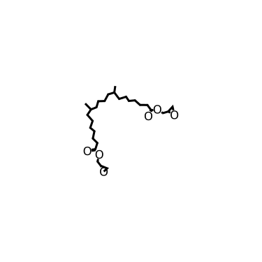 CC(CCCCCCC(=O)OCC1CO1)CCCCC(C)CCCCCCC(=O)OCC1CO1